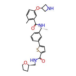 Cc1ccc(OC2CNC2)cc1C(=O)N[C@H](C)c1cccc(-c2ccc(C(=O)NC[C@H]3CCCO3)s2)c1